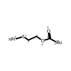 CCCSCCOC(=O)C(C)CC